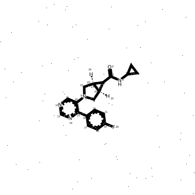 O=C(NC1CC1)C1[C@H]2CN(c3cncnc3-c3ccc(F)cc3)C[C@@H]12